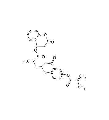 C=C(C)C(=O)Oc1ccc2c(c1)C(=O)CC(CC(=C)C(=O)OC1CC(=O)Oc3ccccc31)O2